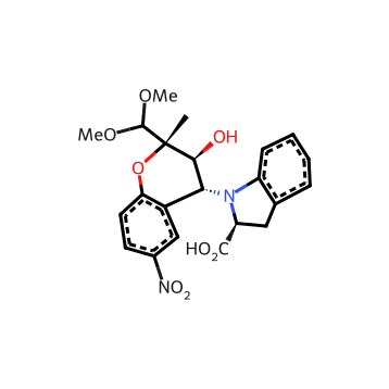 COC(OC)[C@@]1(C)Oc2ccc([N+](=O)[O-])cc2[C@@H](N2c3ccccc3C[C@H]2C(=O)O)[C@@H]1O